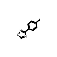 Ic1ccc(-c2ncon2)cc1